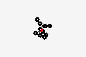 c1ccc(-c2ccc(N(c3ccc(-c4ccccc4)cc3)c3ccc(-n4c5ccccc5c5ccc6c(c54)-c4cnccc4-c4cccc5cccc-6c45)cc3)cc2)cc1